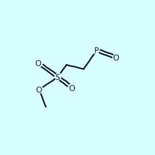 COS(=O)(=O)CCP=O